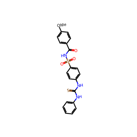 COc1ccc(C(=O)NS(=O)(=O)c2ccc(NC(=S)Nc3ccccc3)cc2)cc1